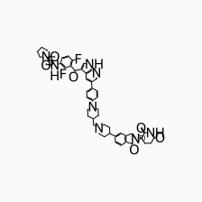 O=C1CC[C@@H](N2Cc3cc(C4CCN(CC5CCN(c6ccc(-c7cnc8[nH]cc(C(=O)c9c(F)ccc(NS(=O)(=O)N%10CCCC%10)c9F)c8c7)cc6)CC5)CC4)ccc3C2=O)C(=O)N1